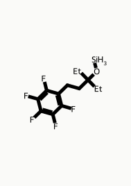 CCC(CC)(CCc1c(F)c(F)c(F)c(F)c1F)O[SiH3]